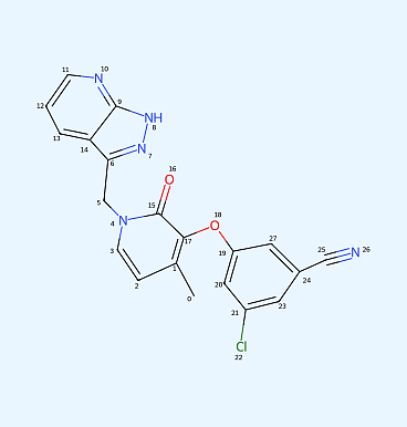 Cc1ccn(Cc2n[nH]c3ncccc23)c(=O)c1Oc1cc(Cl)cc(C#N)c1